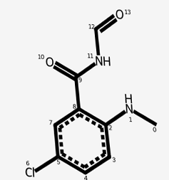 CNc1ccc(Cl)cc1C(=O)NC=O